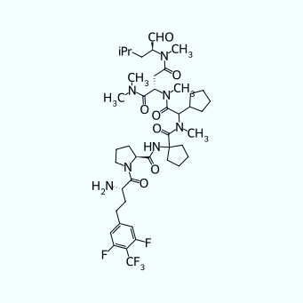 CC(C)C[C@@H](C=O)N(C)C(=O)C[C@@H](C(=O)N(C)C)N(C)C(=O)C(C1CCCC1)N(C)C(=O)C1(NC(=O)[C@@H]2CCCN2C(=O)[C@@H](N)CCc2cc(F)c(C(F)(F)F)c(F)c2)CCCC1